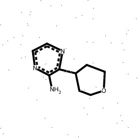 Nc1nccnc1C1CCOCC1